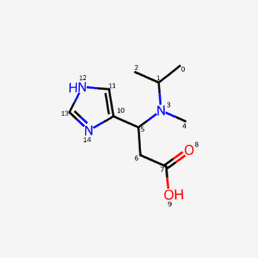 CC(C)N(C)C(CC(=O)O)c1c[nH]cn1